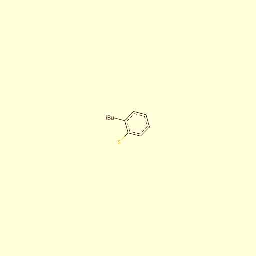 CCC(C)c1ccccc1[S]